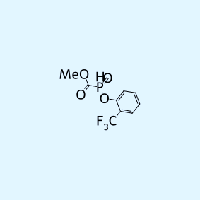 COC(=O)[PH](=O)Oc1ccccc1C(F)(F)F